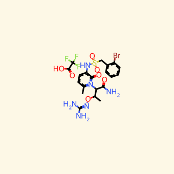 Cc1ccc(NS(=O)(=O)Cc2ccccc2Br)c(=O)n1C(C(N)=O)C(C)ON=C(N)N.O=C(O)C(F)(F)F